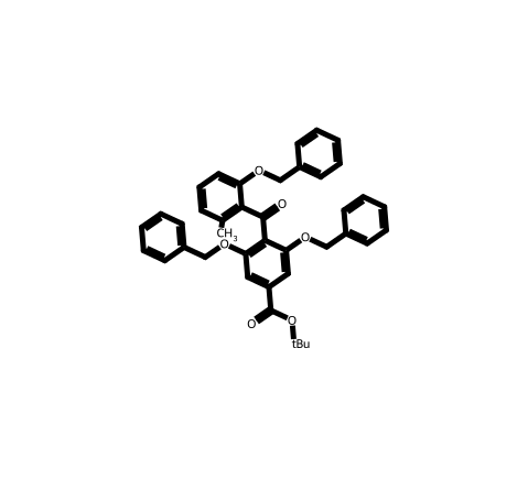 Cc1cccc(OCc2ccccc2)c1C(=O)c1c(OCc2ccccc2)cc(C(=O)OC(C)(C)C)cc1OCc1ccccc1